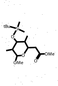 COC(=O)CC1OC(OC)C(C)C(O[Si](C)(C)C(C)(C)C)C1C